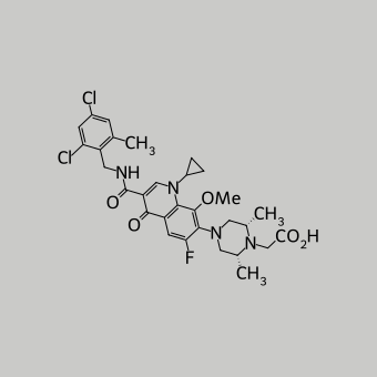 COc1c(N2C[C@@H](C)N(CC(=O)O)[C@@H](C)C2)c(F)cc2c(=O)c(C(=O)NCc3c(C)cc(Cl)cc3Cl)cn(C3CC3)c12